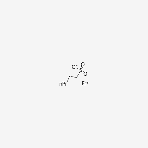 CCCCCS(=O)(=O)[O-].[Fr+]